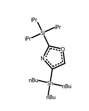 CCC[CH2][Sn]([CH2]CCC)([CH2]CCC)[c]1coc([Si](C(C)C)(C(C)C)C(C)C)n1